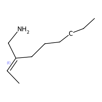 C/C=C(/CN)CCCCCC